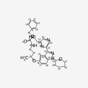 CC(CCNC(=O)OCc1ccccc1)Oc1ccc2c(c1)c(-c1cncc(CO)n1)nn2C1CCCCO1